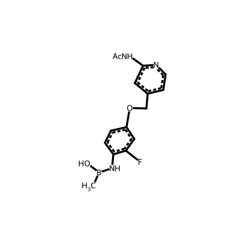 CB(O)Nc1ccc(OCc2ccnc(NC(C)=O)c2)cc1F